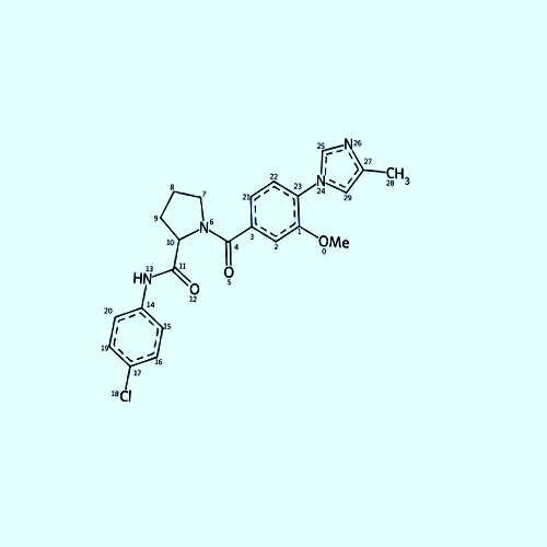 COc1cc(C(=O)N2CCCC2C(=O)Nc2ccc(Cl)cc2)ccc1-n1cnc(C)c1